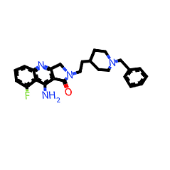 Nc1c2c(nc3cccc(F)c13)CN(CCC1CCN(Cc3ccccc3)CC1)C2=O